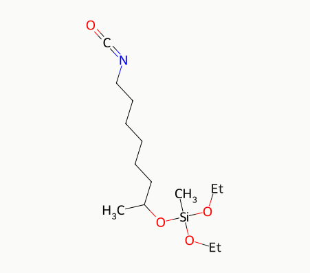 CCO[Si](C)(OCC)OC(C)CCCCCCN=C=O